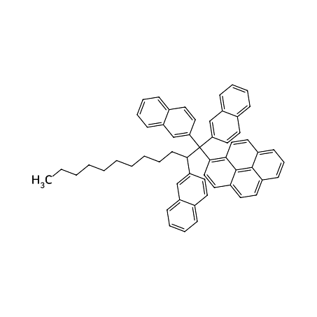 CCCCCCCCCCC(c1ccc2ccccc2c1)C(c1ccc2ccccc2c1)(c1ccc2ccccc2c1)c1ccc2ccc3cccc4ccc1c2c34